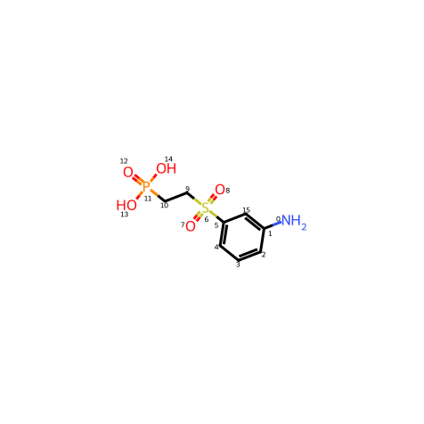 Nc1cccc(S(=O)(=O)CCP(=O)(O)O)c1